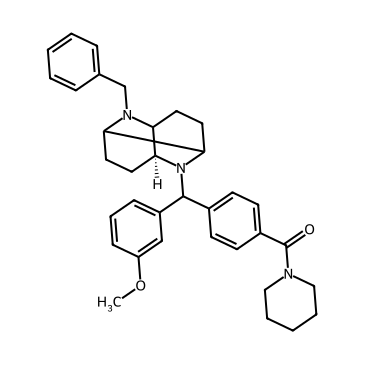 COc1cccc(C(c2ccc(C(=O)N3CCCCC3)cc2)N2C3CCC4[C@@H]2CCC3N4Cc2ccccc2)c1